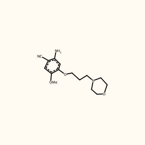 COc1cc(C#N)c(N)cc1OCCCN1CCOCC1